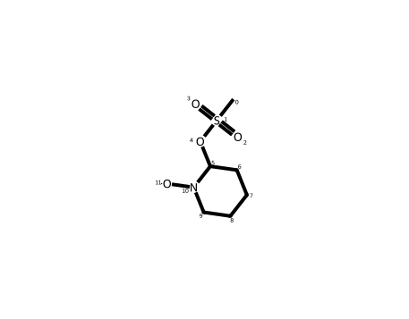 CS(=O)(=O)OC1CCCCN1[O]